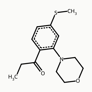 CCC(=O)c1ccc(SC)cc1N1CCOCC1